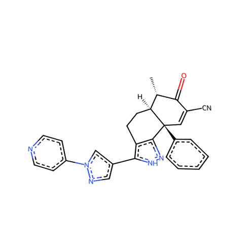 C[C@@H]1C(=O)C(C#N)=C[C@]2(c3ccccc3)c3n[nH]c(-c4cnn(-c5ccncc5)c4)c3CC[C@@H]12